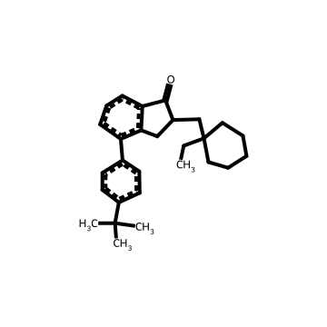 CCC1(CC2Cc3c(cccc3-c3ccc(C(C)(C)C)cc3)C2=O)CCCCC1